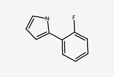 Fc1ccccc1C1=CC=C[N]1